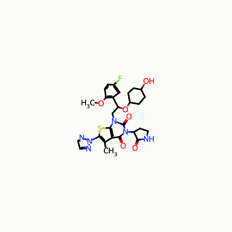 COc1ccc(F)cc1C(Cn1c(=O)n(C2CCNC2=O)c(=O)c2c(C)c(-n3nccn3)sc21)OC1CCC(O)CC1